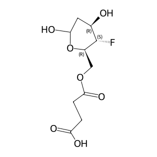 O=C(O)CCC(=O)OC[C@H]1OC(O)C[C@@H](O)[C@@H]1F